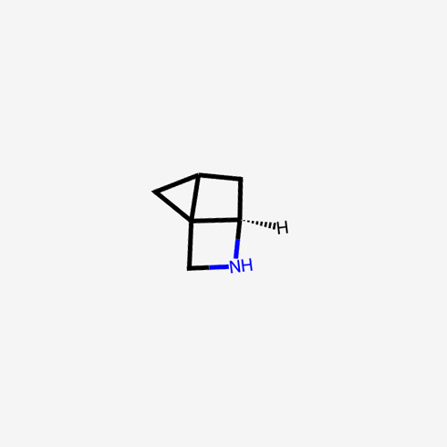 C1C2CC23CN[C@H]13